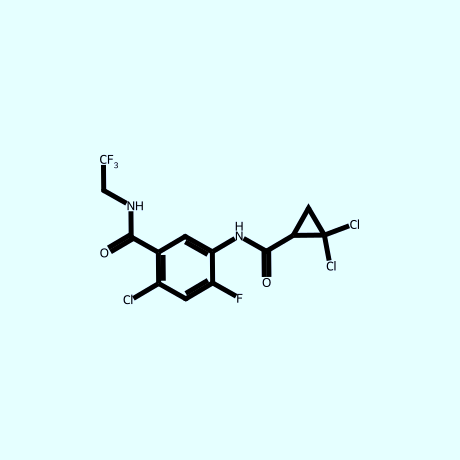 O=C(NCC(F)(F)F)c1cc(NC(=O)C2CC2(Cl)Cl)c(F)cc1Cl